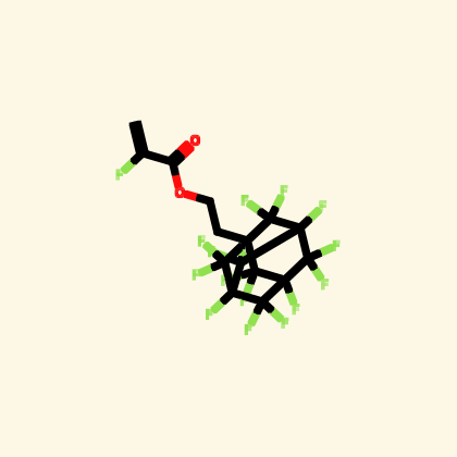 C=C(F)C(=O)OCCC12C(F)(F)C3(F)C(F)(F)C(F)(C(F)(F)C(F)(C3(F)F)C1(F)F)C2(F)F